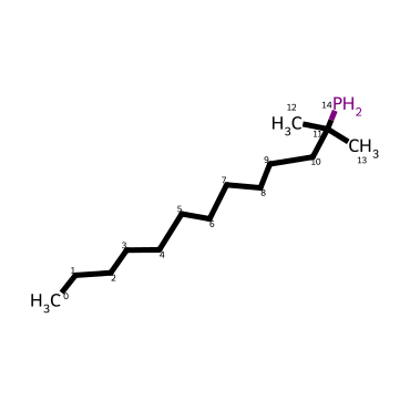 CCCCCCCCCCCC(C)(C)P